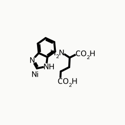 NC(CCC(=O)O)C(=O)O.[Ni].c1ccc2[nH]cnc2c1